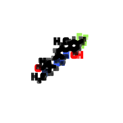 Cc1cc(C(F)(F)F)cc(O)c1-c1ccc2cn(CC34C[C@H]3C(=O)N(C)C4)nc2n1